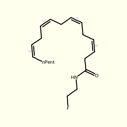 CCCCC/C=C\C/C=C\C/C=C\C/C=C\CC(=O)NCCF